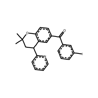 CC1(C)CC(c2ccccn2)c2cc(C(=O)c3cccc(I)c3)ccc2O1